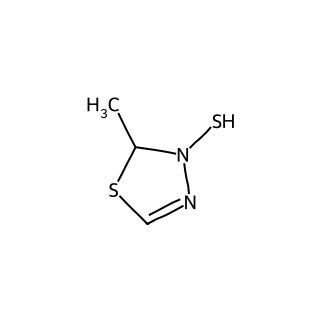 CC1SC=NN1S